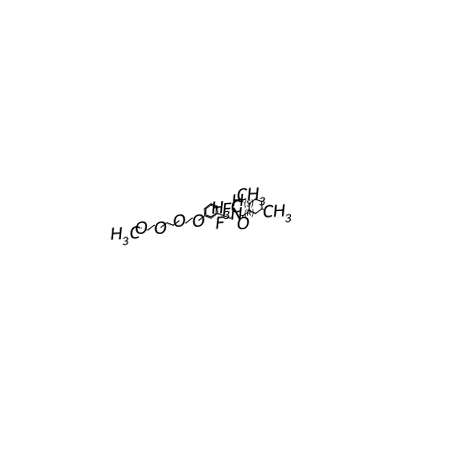 COCCOCCOCCOc1cccc(C(F)(F)CNC(=O)[C@@H]2CC(C)CC[C@H]2C(C)C)c1